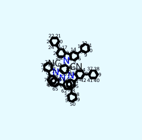 N#Cc1c(-n2c3ccc(-c4ccccc4)cc3c3cc(-c4ccccc4)ccc32)c(C#N)c(-n2c3ccc(-c4ccccc4)cc3c3cc(-c4ccccc4)ccc32)c(-n2c3ccccc3c3ccccc32)c1-n1c2ccccc2c2ccccc21